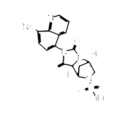 CC(C)S(=O)(=O)N1C[C@H]2CC1[C@H]1C(=O)N(c3ccc(C#N)c4ncccc34)C(=O)N21